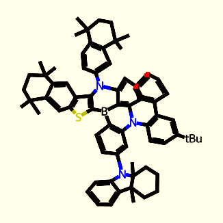 Cc1cc2c3c(c1)N(c1ccc4c(c1)C(C)(C)CCC4(C)C)c1c(sc4cc5c(cc14)C(C)(C)CCC5(C)C)B3c1ccc(N3c4ccccc4C4(C)CCCCC34C)cc1N2c1ccc(C(C)(C)C)cc1-c1ccccc1